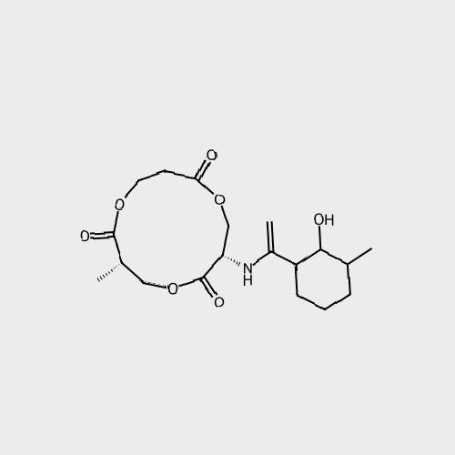 C=C(N[C@H]1COC(=O)CCOC(=O)[C@@H](C)COC1=O)C1CCCC(C)C1O